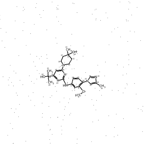 COc1cc(Nc2nc(N3CCC(C)(O)CC3)cc(C(C)(C)O)n2)ccc1-n1cnc(C)c1